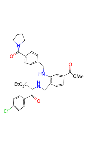 CCOC(=O)C(NCc1ccc(C(=O)OC)cc1NCc1ccc(C(=O)N2CCCC2)cc1)C(=O)c1ccc(Cl)cc1